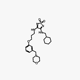 O=S1(=O)N=C(NCCCOc2cccc(CN3CCOCC3)c2)C(NCC2CCCCC2)=N1